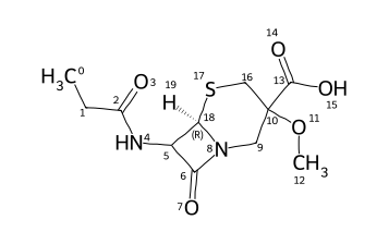 CCC(=O)NC1C(=O)N2CC(OC)(C(=O)O)CS[C@H]12